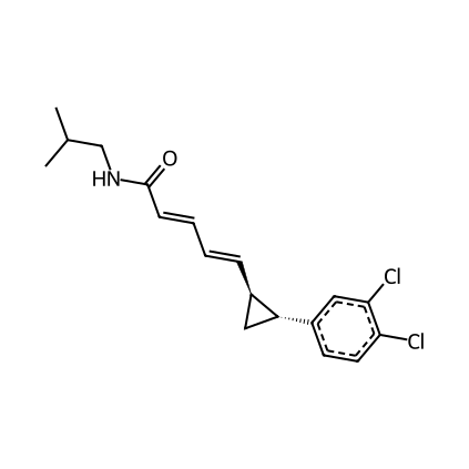 CC(C)CNC(=O)/C=C/C=C/[C@@H]1C[C@H]1c1ccc(Cl)c(Cl)c1